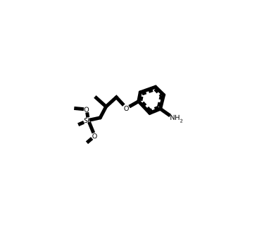 CO[Si](C)(CC(C)COc1cccc(N)c1)OC